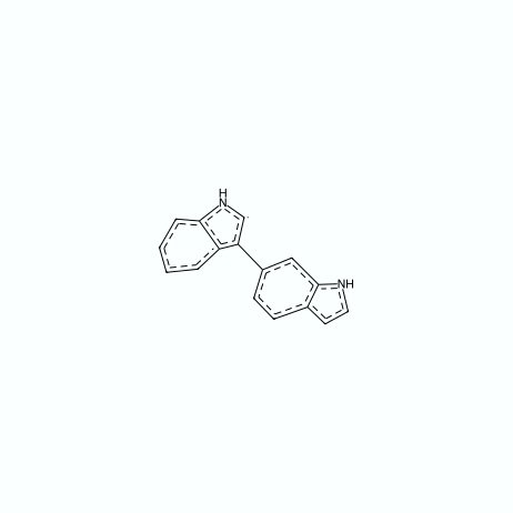 [c]1[nH]c2ccccc2c1-c1ccc2cc[nH]c2c1